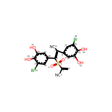 C=C(C#N)S(=O)(=O)C(=C(C#N)c1cc(O)c(O)c(Br)c1)c1cc(O)c(O)c(Br)c1